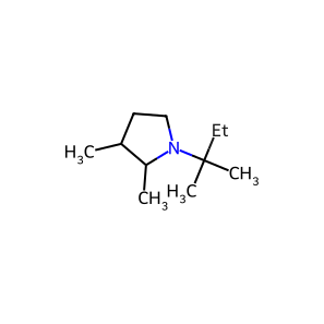 CCC(C)(C)N1CCC(C)C1C